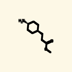 COC(=O)CC[C@H]1CC[C@H](N)CC1